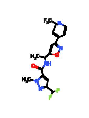 CC(NC(=O)c1cc(C(F)F)nn1C)c1cc(-c2ccnc(C(F)(F)F)c2)no1